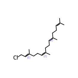 CC(C)=CCC/C(C)=C/CC/C(C)=C\CC/C(C)=C/CCl